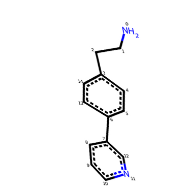 NCCc1ccc(-c2cccnc2)cc1